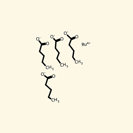 CCCCC(=O)[O-].CCCCC(=O)[O-].CCCCC(=O)[O-].CCCCC(=O)[O-].[Ru+4]